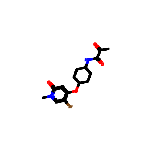 CC(=O)C(=O)NC1CCC(Oc2cc(=O)n(C)cc2Br)CC1